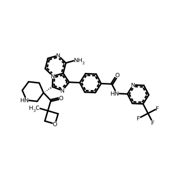 CC1(C(=O)[C@]2(c3nc(-c4ccc(C(=O)Nc5cc(C(F)(F)F)ccn5)cc4)c4c(N)nccn34)CCCNC2)COC1